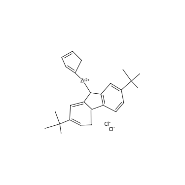 CC(C)(C)c1ccc2c(c1)[CH]([Zr+2][C]1=CC=CC1)c1cc(C(C)(C)C)ccc1-2.[Cl-].[Cl-]